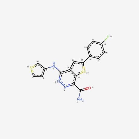 NC(=O)c1nnc(Nc2ccsc2)c2cc(-c3ccc(F)cc3)sc12